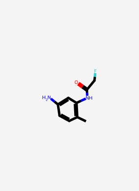 Cc1ccc(N)cc1NC(=O)CF